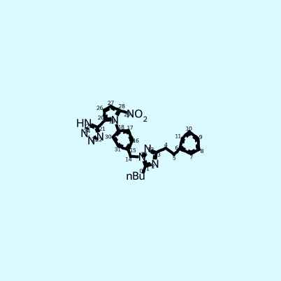 CCCCc1nc(CCc2ccccc2)nn1Cc1ccc(-n2c(-c3nnn[nH]3)ccc2[N+](=O)[O-])cc1